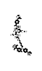 CC(=O)O[C@@H]1C[C@@H](C(=O)NC(C)c2ccc(-c3scnc3C)cc2)N(C(=O)C(NC(=O)COCCCCCN(c2ccc(-n3ccnn3)cc2)c2cc(-c3c(C)noc3C)ccc2C)C(C)(C)C)C1